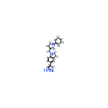 c1cc2c(cc1-c1cn[nH]c1)CCN2CC1CCN([C]2CCCCC2)C1